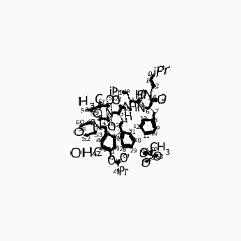 CC(C)CCNC(=O)[C@H](Cc1ccccc1)NC(=O)[C@H](CC(C)C)NC(=O)[C@H](CCc1ccccc1)N(C(=O)C[N+]1(Cc2ccc(OC(=O)C(C)C)c(C=O)c2)CCOCC1)C(=O)[C@@]1(C)CO1.CS(=O)(=O)[O-]